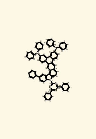 c1ccc(-c2ccc3c(c2)c2c4cc5c6ccc(N(c7ccccc7)c7ccccc7)cc6c6cc(N(c7ccccc7)c7ccccc7)ccc6c5cc4ccc2n3-c2nc(-c3ccccc3)nc(-c3ccccc3)n2)cc1